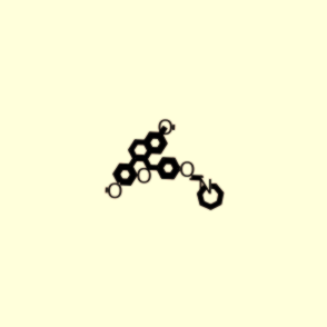 COc1ccc(C2=C(C(=O)c3ccc(OCCN4CCCCCC4)cc3)c3ccc(OC)cc3CC2)cc1